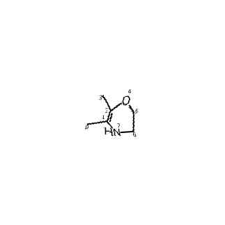 CC1=C(C)OCCN1